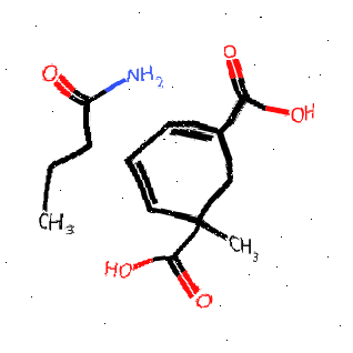 CC1(C(=O)O)C=CC=C(C(=O)O)C1.CCCC(N)=O